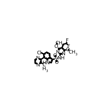 COc1nc(NS(=O)(=O)c2c[nH]c3c(-c4nccnc4C)c(Cl)ccc23)nc(OC)c1CC(F)F